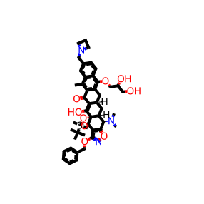 Cc1c2c(c(OCC(O)CO)c3ccc(CN4CCC4)cc13)C[C@H]1C[C@H]3[C@H](N(C)C)c4onc(OCc5ccccc5)c4C(=O)[C@@]3(O[Si](C)(C)C(C)(C)C)C(O)=C1C2=O